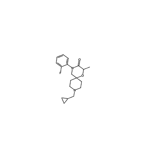 CC1OC2(CCN(CC3CC3)CC2)CN(c2ccccc2F)C1=O